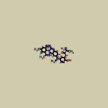 Cc1nc(N[C@H](C)c2cc(N)cc(C)c2F)c2cc(N(C)c3cnc(O)c(CC(=O)N(C)C)c3)ccc2n1